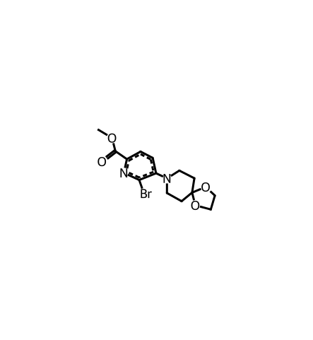 COC(=O)c1ccc(N2CCC3(CC2)OCCO3)c(Br)n1